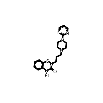 CCN1C(=O)N(CCCN2CCN(c3ncccn3)CC2)Sc2ccccc21